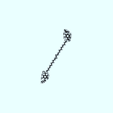 [N-]=[N+]=Nc1c(F)c(F)c(C(=O)OCCCCCCCCCCCSSCCCCCCCCCCCOC(=O)c2c(F)c(F)c(N=[N+]=[N-])c(F)c2F)c(F)c1F